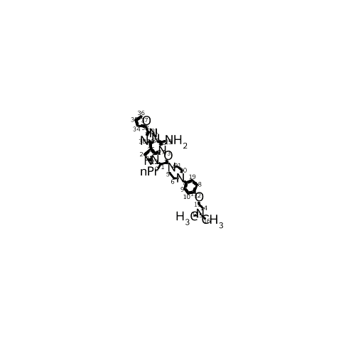 CCCC(C(=O)N1CCN(c2ccc(OCCN(C)C)cc2)CC1)n1ncc2c1nc(N)n1nc(-c3ccco3)nc21